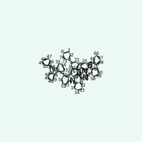 c1ccc(-c2ccc(-c3nc(-c4ccccc4-n4c5cc(-c6ccccc6)ccc5c5c(-c6cccc7c6c6ccccc6n7-c6ccccc6)cccc54)nc(-c4cccc5c4sc4ccccc45)n3)cc2)cc1